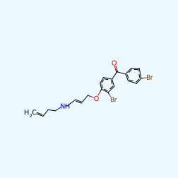 C=CCCNCC=CCOc1ccc(C(=O)c2ccc(Br)cc2)cc1Br